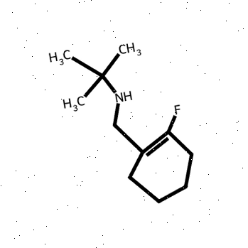 CC(C)(C)NCC1=C(F)CCCC1